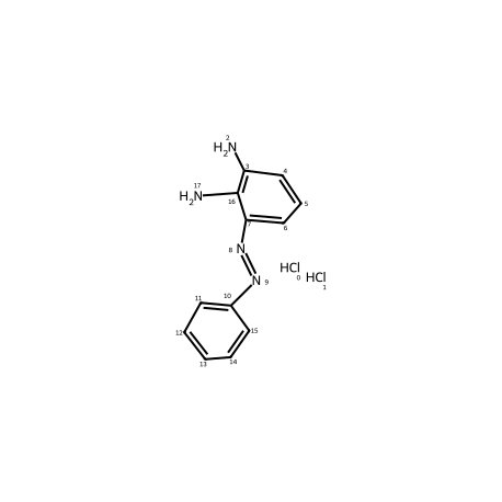 Cl.Cl.Nc1cccc(N=Nc2ccccc2)c1N